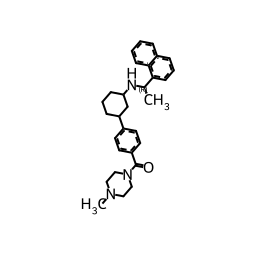 C[C@@H](NC1CCCC(c2ccc(C(=O)N3CCN(C)CC3)cc2)C1)c1cccc2ccccc12